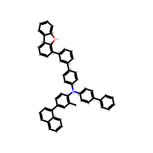 Cc1cc(-c2cccc3ccccc23)ccc1N(c1ccc(-c2ccccc2)cc1)c1ccc(-c2cccc(-c3cccc4c3oc3ccccc34)c2)cc1